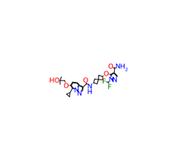 CC(C)(O)COc1ccc2c(C(=O)N[C@H]3CC4(C3)C[C@H](Oc3c(C(N)=O)cnn3C(F)F)C4)cnn2c1C1CC1